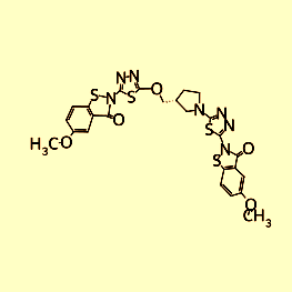 COc1ccc2sn(-c3nnc(OC[C@@H]4CCN(c5nnc(-n6sc7ccc(OC)cc7c6=O)s5)C4)s3)c(=O)c2c1